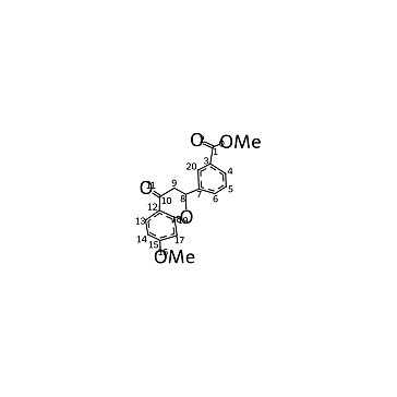 COC(=O)c1cccc(C2CC(=O)c3ccc(OC)cc3O2)c1